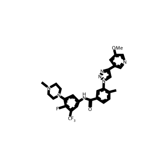 COc1cncc(-c2cn(-c3cc(C(=O)Nc4cc(N5CCN(C)CC5)c(F)c(C(F)(F)F)c4)ccc3C)nn2)c1